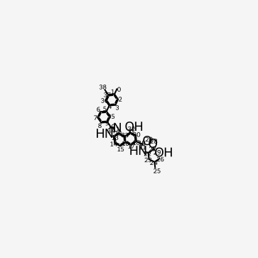 Cc1ccc(-c2cccc(-c3nc4c(ccc5cc(C(=O)NC(CC(C)C)C(=O)O)cc(O)c54)[nH]3)c2)cc1C